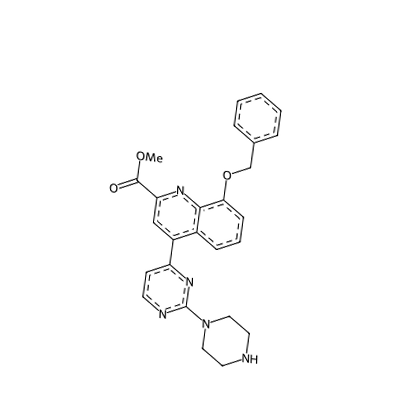 COC(=O)c1cc(-c2ccnc(N3CCNCC3)n2)c2cccc(OCc3ccccc3)c2n1